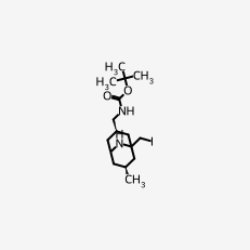 C[C@H]1CC2C[C@@H](CNC(=O)OC(C)(C)C)CC(CI)(C1)N2